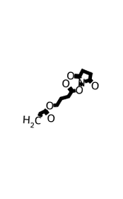 C=CC(=O)OCCCC(=O)ON1C(=O)CCC1=O